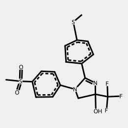 CSc1ccc(C2=NC(O)(C(F)(F)F)CN2c2ccc(S(C)(=O)=O)cc2)cc1